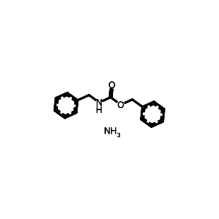 N.O=C(NCc1ccccc1)OCc1ccccc1